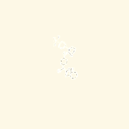 O=C(c1ccc(Oc2ncccc2[C@H]2CC[C@@H](C(F)(F)F)CC2)cc1)c1nc2ccccc2[nH]1